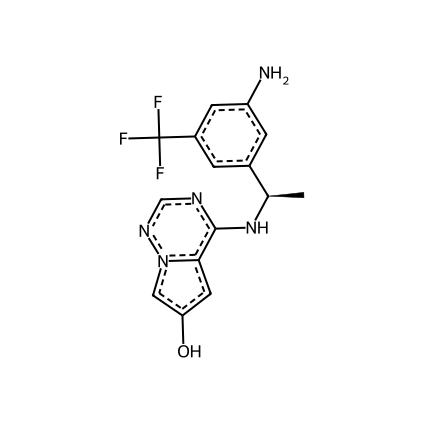 C[C@@H](Nc1ncnn2cc(O)cc12)c1cc(N)cc(C(F)(F)F)c1